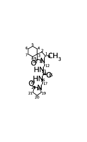 CC1CC2(CCCCC2)C(=O)N1CNC(=O)NCN1CCCC1=O